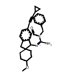 COC1CCC2(CC1)Cc1ccc(C#CC3CC3)cc1C2/N=C(/N)N(C=O)Cc1ccccc1